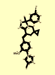 COc1cc(/C=C2\CC3(CC3)CN3C2=NOC3(C)c2cncc(F)c2)ccc1-n1cnc(C)c1